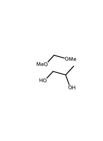 CC(O)CO.COCOC